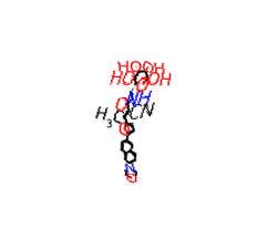 C/C(=C(/C#N)C(=O)NC[C@H]1OC(O)[C@H](O)[C@@H](O)[C@@H]1O)c1ccc(-c2ccc3cc(N4CCOCC4)ccc3c2)o1